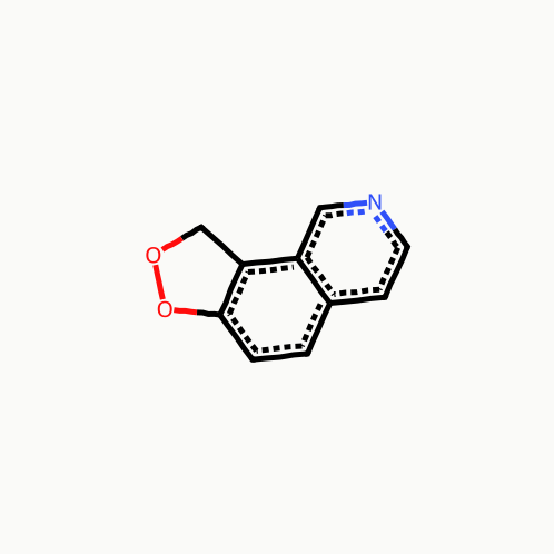 c1cc2ccc3c(c2cn1)COO3